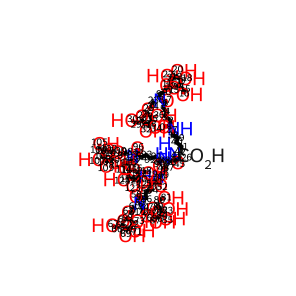 O=C(CCCCC(=O)N(CCO[C@H]1O[C@H](CO)[C@@H](O)[C@H](O)[C@@H]1O)CCO[C@H]1O[C@H](CO)[C@@H](O)[C@H](O)[C@@H]1O)NCCCC[C@H](NC(=O)[C@H](CCCNC(=O)CCCCC(=O)N(CCO[C@H]1O[C@H](CO)[C@@H](O)[C@H](O)[C@@H]1O)CCO[C@@H]1O[C@@H](CO)[C@H](O)[C@@H](O)[C@H]1O)NC(=O)CCCCC(=O)N(CCO[C@H]1O[C@H](CO)[C@@H](O)[C@H](O)[C@@H]1O)CCO[C@H]1O[C@H](CO)[C@@H](O)[C@H](O)[C@@H]1O)C(=O)O